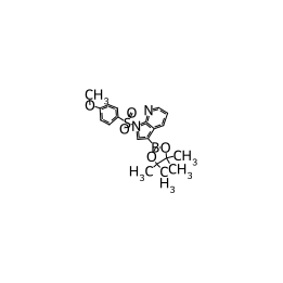 COc1ccc(S(=O)(=O)n2cc(B3OC(C)(C)C(C)(C)O3)c3cccnc32)cc1